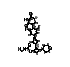 NC(=O)OC12CC(N3CCOCC3)(C1)C2C1CN(c2cc(F)c(C3CCC(=O)NC3=O)c(F)c2)C1